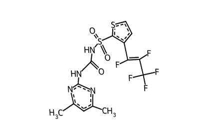 Cc1cc(C)nc(NC(=O)NS(=O)(=O)c2sccc2C(F)=C(F)C(F)(F)F)n1